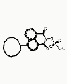 CS(=O)(=O)ON1C(=O)c2cccc3c(C4CCCCCCCCC4)ccc(c23)C1=O